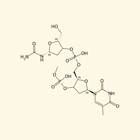 COP(=O)(O)OC1C[C@H](n2cc(C)c(=O)[nH]c2=O)O[C@@H]1COP(=O)(O)OC1C[C@H](NC(N)=O)O[C@@H]1CO